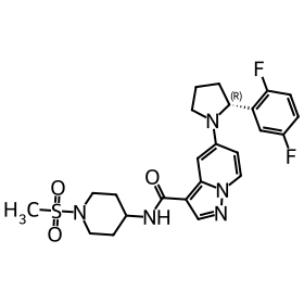 CS(=O)(=O)N1CCC(NC(=O)c2cnn3ccc(N4CCC[C@@H]4c4cc(F)ccc4F)cc23)CC1